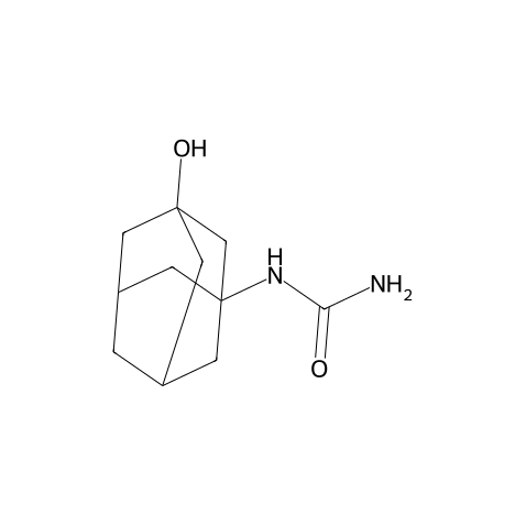 NC(=O)NC12CC3CC(CC(O)(C3)C1)C2